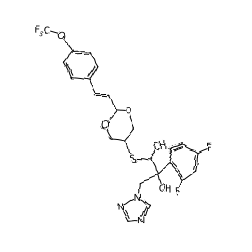 CC(SC1COC(/C=C/c2ccc(OC(F)(F)F)cc2)OC1)C(O)(Cn1cncn1)c1ccc(F)cc1F